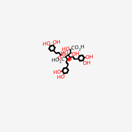 O=C(C=Cc1ccc(O)c(O)c1)O[C@@](C(=O)O)(C(=O)C=Cc1ccc(O)c(O)c1)[C@@](O)(C(=O)C=Cc1ccc(O)c(O)c1)[C@H](O)[C@H](O)C(=O)O